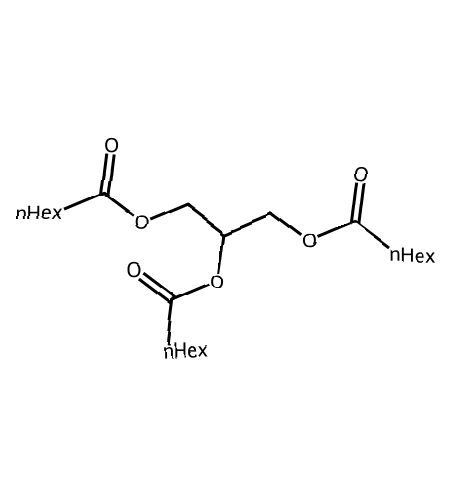 CCCCCCC(=O)OCC(COC(=O)CCCCCC)OC(=O)CCCCCC